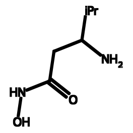 CC(C)C(N)CC(=O)NO